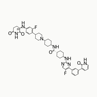 O=C1CC[C@@H](Nc2ccc(C3CCN(C4CCC(NC(=O)[C@H]5CC[C@H](Nc6ncc(F)c(-c7cccc(-c8ccc[nH]c8=O)c7)n6)CC5)CC4)CC3)c(F)c2)C(=O)N1